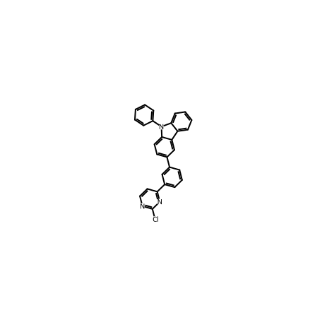 Clc1nccc(-c2cccc(-c3ccc4c(c3)c3ccccc3n4-c3ccccc3)c2)n1